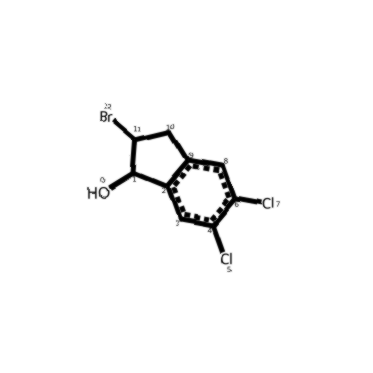 OC1c2cc(Cl)c(Cl)cc2CC1Br